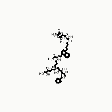 N=C(NCCCCc1ccc(CC[C@H](NCCCN(C[C@H](O)C[C@H](O)[C@H](O)CO)C[C@H](O)[C@@H](O)[C@@H]2OC(c3ccccc3)OC[C@H]2O)C(N)=O)c2ccccc12)NC(=O)c1nc(Cl)c(N)nc1N